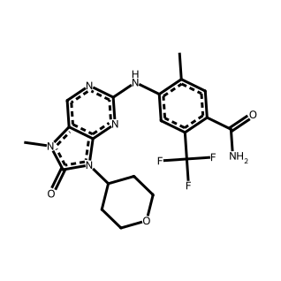 Cc1cc(C(N)=O)c(C(F)(F)F)cc1Nc1ncc2c(n1)n(C1CCOCC1)c(=O)n2C